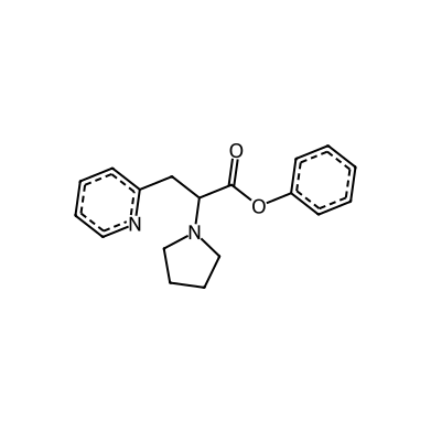 O=C(Oc1ccccc1)C(Cc1ccccn1)N1CCCC1